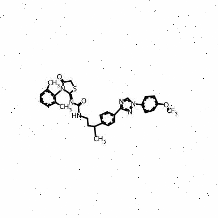 Cc1cccc(C)c1N1C(=O)CS/C1=N\C(=O)NCCC(C)c1ccc(-c2ncn(-c3ccc(OC(F)(F)F)cc3)n2)cc1